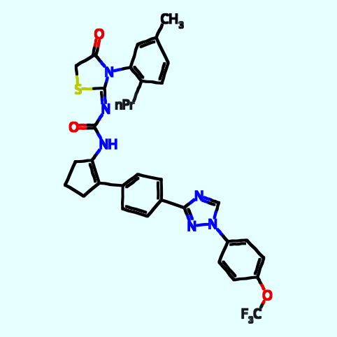 CCCc1ccc(C)cc1N1C(=O)CS/C1=N\C(=O)NC1=C(c2ccc(-c3ncn(-c4ccc(OC(F)(F)F)cc4)n3)cc2)CCC1